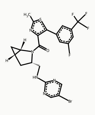 Cc1nc(C(=O)N2[C@H](CNc3ncc(Br)cn3)C[C@@H]3C[C@@H]32)c(-c2cc(F)cc(C(F)(F)F)c2)s1